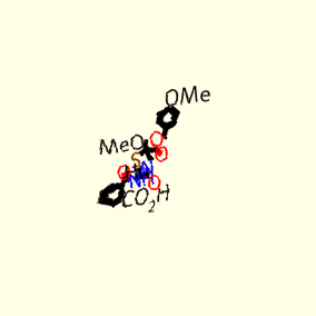 COCC1(C(=O)OCc2ccc(OC)cc2)CS[C@@H]2C(NC(=O)c3ccccc3C(=O)O)C(=O)N2C1